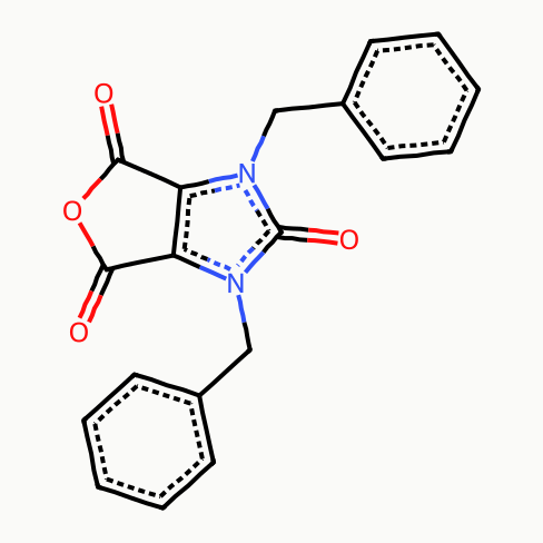 O=C1OC(=O)c2c1n(Cc1ccccc1)c(=O)n2Cc1ccccc1